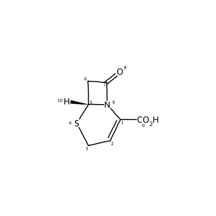 O=C(O)C1=CCS[C@@H]2CC(=O)N12